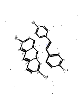 Oc1ccc(/C=C/c2ccc(O)cc2)cc1.Oc1ccc2cc3cc(O)ccc3cc2c1